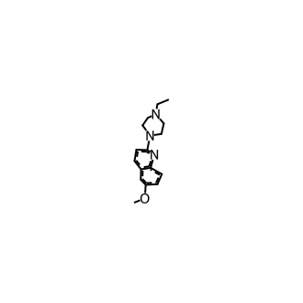 CCN1CCN(c2ccc3cc(OC)ccc3n2)CC1